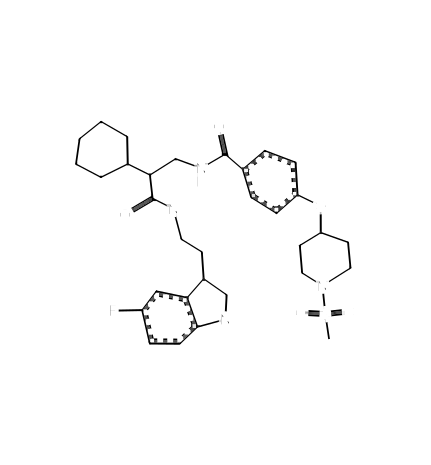 CS(=O)(=O)N1CCC(Oc2ccc(C(=O)NCC(C(=O)NCCC3CNc4ccc(F)cc43)C3CCCCC3)cc2)CC1